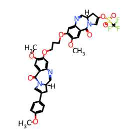 COc1ccc(C2=CN3C(=O)c4cc(OC)c(OCCCOc5cc6c(cc5OC)C(=O)N5C=C(OS(=O)(=O)C(F)(F)F)C[C@H]5C=N6)cc4N=C[C@@H]3C2)cc1